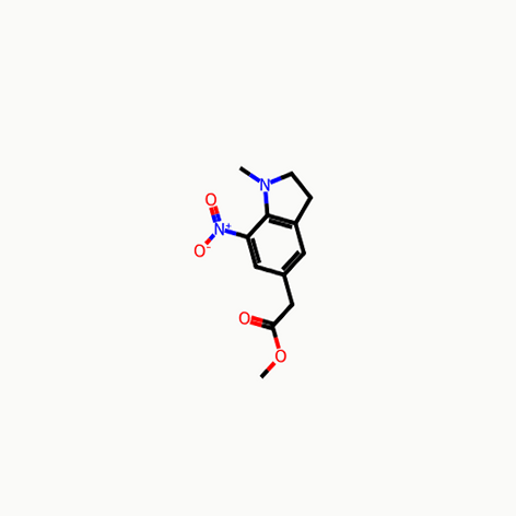 COC(=O)Cc1cc2c(c([N+](=O)[O-])c1)N(C)CC2